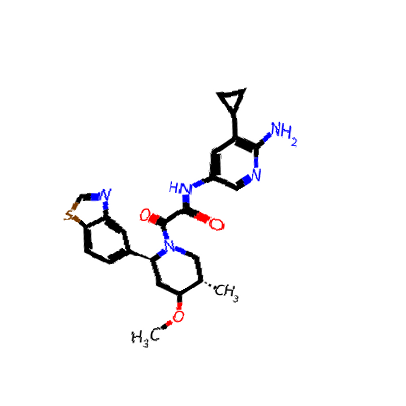 COC1C[C@@H](c2ccc3scnc3c2)N(C(=O)C(=O)Nc2cnc(N)c(C3CC3)c2)C[C@@H]1C